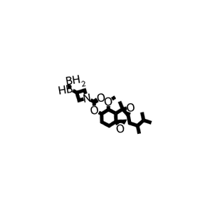 BBC1CN(C(=O)OC2CCC3(CO3)C(C3(C)OC3CC(C)C(C)C)C2OC)C1